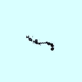 Cc1ncsc1-c1ccc([C@H](C)NC(=O)[C@@H]2CCCN2C(=O)[C@@H](NC(=O)CCCCCCC(=O)N2CCN(c3cc(-c4ccccc4O)nnc3N)CC2)C(C)(C)C)cc1